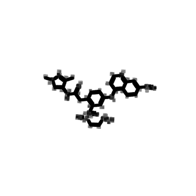 COc1ccc2c(Oc3ccc(CC(=O)Nc4cn(C)nc4C)c(OC)c3)ccnc2c1.O=C(O)/C=C\C(=O)O